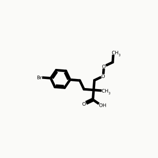 CCOOCC(C)(CCc1ccc(Br)cc1)C(=O)O